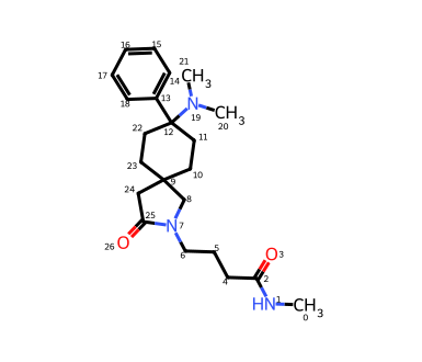 CNC(=O)CCCN1CC2(CCC(c3ccccc3)(N(C)C)CC2)CC1=O